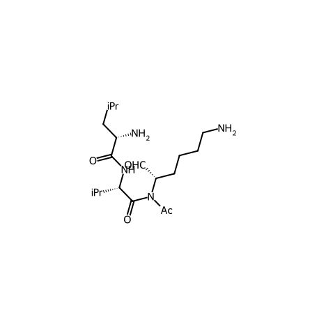 CC(=O)N(C(=O)[C@@H](NC(=O)[C@@H](N)CC(C)C)C(C)C)[C@H](C=O)CCCCN